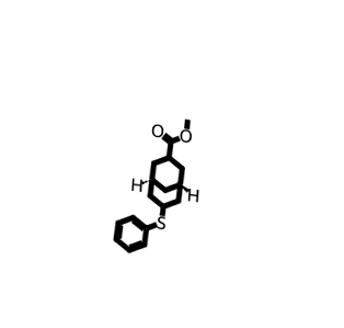 COC(=O)C1C[C@@H]2CC(Sc3ccccc3)C[C@@H](C1)C2